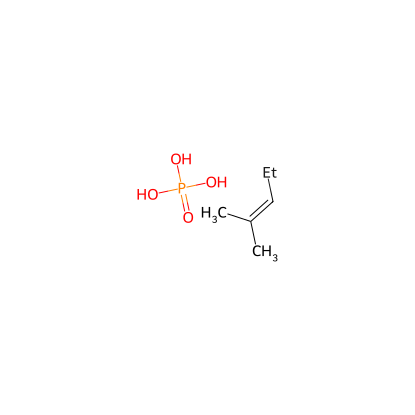 CCC=C(C)C.O=P(O)(O)O